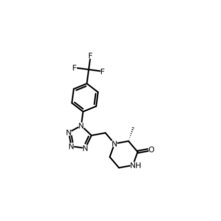 C[C@@H]1C(=O)NCCN1Cc1nnnn1-c1ccc(C(F)(F)F)cc1